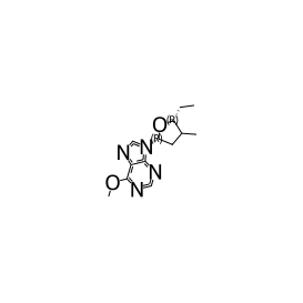 CC[C@H]1O[C@@H](n2cnc3c(OC)ncnc32)CC1C